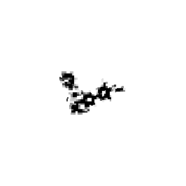 CCOc1c(C)cc(-c2ccc3c(c2)OCC(C)(C)C3NC(=O)O[C@H]2CN3CCC2CC3)cc1C